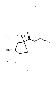 CCOC(=O)C1(C)CCCC(O)C1